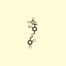 O=[PH](O)OC(F)(F)c1ccc(COCCc2ccc(Cl)cc2Cl)cc1Br